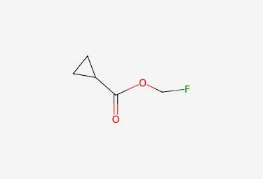 O=C(OCF)C1CC1